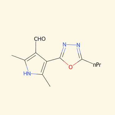 CCCc1nnc(-c2c(C)[nH]c(C)c2C=O)o1